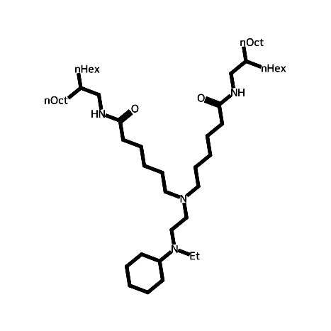 CCCCCCCCC(CCCCCC)CNC(=O)CCCCCN(CCCCCC(=O)NCC(CCCCCC)CCCCCCCC)CCN(CC)C1CCCCC1